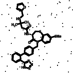 CSc1ccc2c(c1)SC[C@@H](NC(=O)CC(C)(C)NCc1ccco1)C(=O)N2Cc1ccc(-c2ccccc2-c2nnn[nH]2)cc1